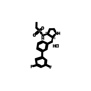 CCS(=O)(=O)N[C@H]1CCN[C@H]1Cc1cccc(-c2cc(F)cc(F)c2)c1.Cl